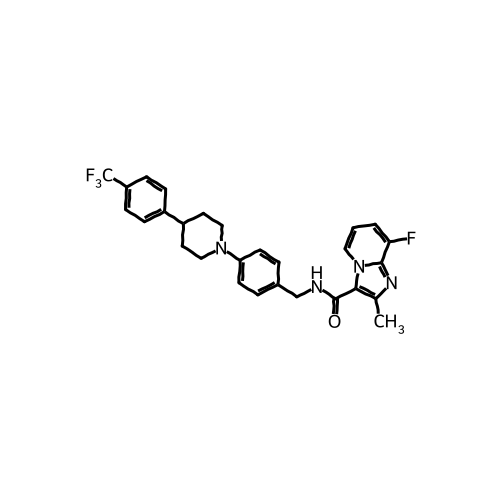 Cc1nc2c(F)cccn2c1C(=O)NCc1ccc(N2CCC(c3ccc(C(F)(F)F)cc3)CC2)cc1